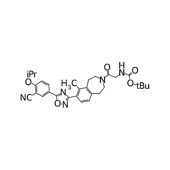 Cc1c(-c2noc(-c3ccc(OC(C)C)c(C#N)c3)n2)ccc2c1CCN(C(=O)CNC(=O)OC(C)(C)C)CC2